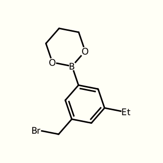 CCc1cc(CBr)cc(B2OCCCO2)c1